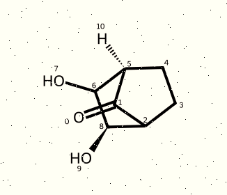 O=C1C2CC[C@@H]1C(O)[C@@H]2O